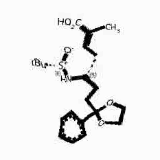 CC(=CC[C@H](CCC1(c2ccccc2)OCCO1)N[S@@+]([O-])C(C)(C)C)C(=O)O